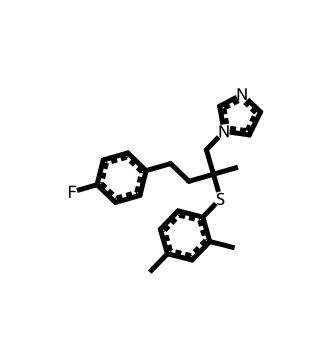 Cc1ccc(SC(C)(CCc2ccc(F)cc2)Cn2ccnc2)c(C)c1